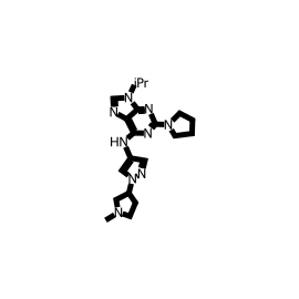 CC(C)n1cnc2c(Nc3cnn(C4CCN(C)C4)c3)nc(N3CCCC3)nc21